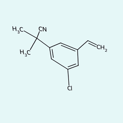 C=Cc1cc(Cl)cc(C(C)(C)C#N)c1